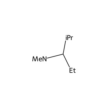 [CH2]NC(CC)C(C)C